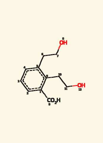 O=C(O)c1cccc(CCO)c1CCO